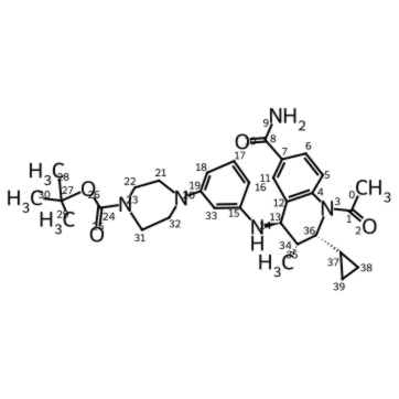 CC(=O)N1c2ccc(C(N)=O)cc2[C@H](Nc2cccc(N3CCN(C(=O)OC(C)(C)C)CC3)c2)[C@@H](C)[C@H]1C1CC1